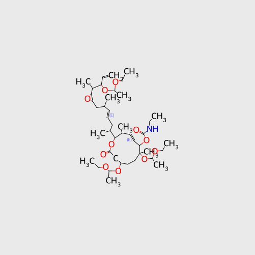 C=CC(OC(C)OCC)C(C)C1OC1CC(C)/C=C/CC(C)C1OC(=O)CC(OC(C)OCC)CCC(C)(OC(C)OCC)C(OC(=O)NCC)/C=C/C1C